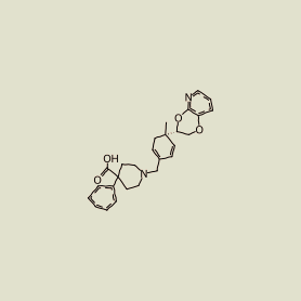 CC1([C@H]2COc3cccnc3O2)C=CC(CN2CCC(C(=O)O)(c3ccccc3)CC2)=CC1